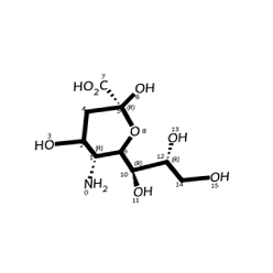 N[C@@H]1C(O)C[C@](O)(C(=O)O)OC1[C@H](O)[C@H](O)CO